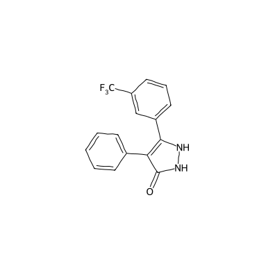 O=c1[nH][nH]c(-c2cccc(C(F)(F)F)c2)c1-c1ccccc1